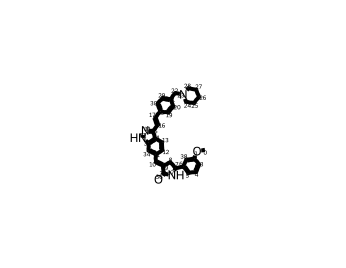 COc1cccc(C2C/C(=C\c3ccc4c(C=Cc5ccc(CN6CCCCC6)cc5)n[nH]c4c3)C(=O)N2)c1